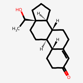 CC(O)[C@@]12CCC[C@H]1[C@@H]1CCC3=CC(=O)CC[C@@H]3[C@H]1CC2